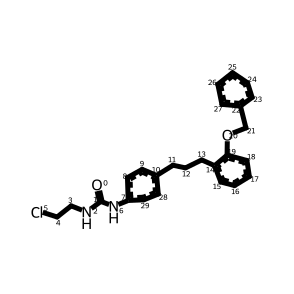 O=C(NCCCl)Nc1ccc(CCCc2ccccc2OCc2ccccc2)cc1